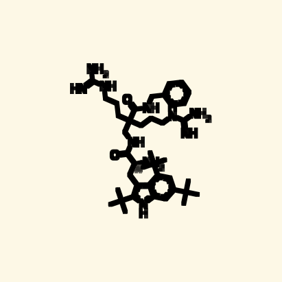 CC(C)(C)c1cc(C(C)(C)C)c2c(C[C@H](N)C(=O)NCC(CCCNC(=N)N)(CCCNC(=N)N)C(=O)NCc3ccccc3)c(C(C)(C)C)[nH]c2c1